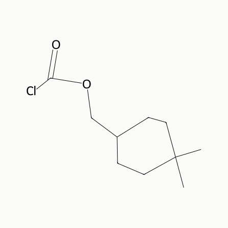 CC1(C)CCC(COC(=O)Cl)CC1